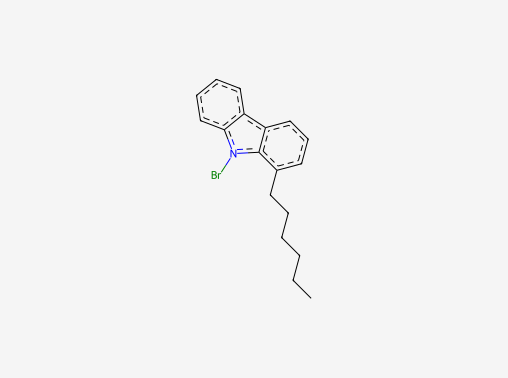 CCCCCCc1cccc2c3ccccc3n(Br)c12